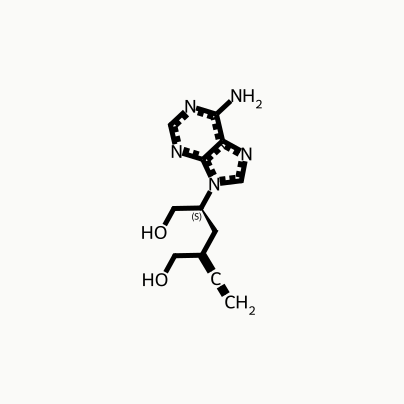 C=C=C(CO)C[C@@H](CO)n1cnc2c(N)ncnc21